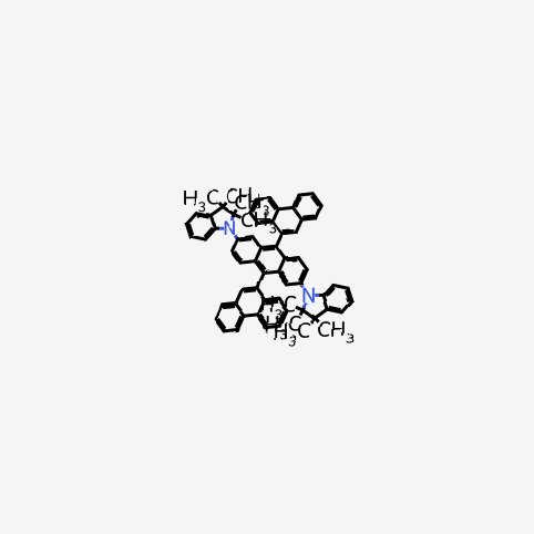 CC1(C)c2ccccc2N(c2ccc3c(-c4cc5ccccc5c5ccccc45)c4cc(N5c6ccccc6C(C)(C)C5(C)C)ccc4c(-c4cc5ccccc5c5ccccc45)c3c2)C1(C)C